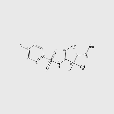 Cc1ccc(S(=O)(=O)NC(CC(C)C)C(C)(O)COC(C)(C)C)cc1